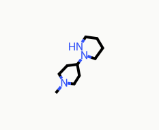 CN1CCC(N2CCCCN2)CC1